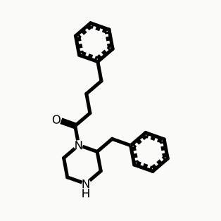 O=C(CCCc1ccccc1)N1CCNCC1Cc1ccccc1